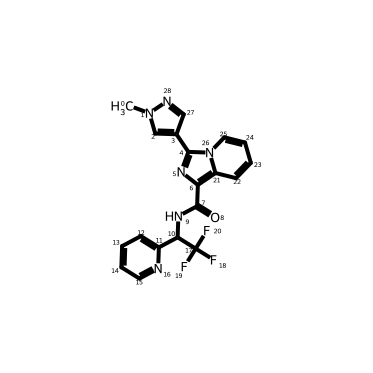 Cn1cc(-c2nc(C(=O)NC(c3ccccn3)C(F)(F)F)c3ccccn23)cn1